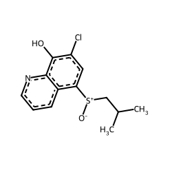 CC(C)C[S+]([O-])c1cc(Cl)c(O)c2ncccc12